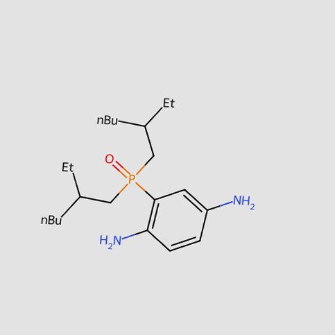 CCCCC(CC)CP(=O)(CC(CC)CCCC)c1cc(N)ccc1N